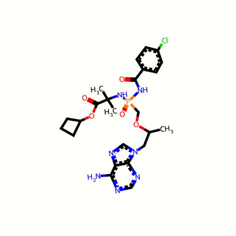 CC(Cn1cnc2c(N)ncnc21)OCP(=O)(NC(=O)c1ccc(Cl)cc1)NC(C)(C)C(=O)OC1CCC1